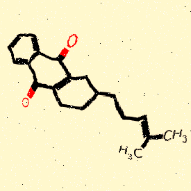 CC(C)=CCCC1CCC2=C(C1)C(=O)c1ccccc1C2=O